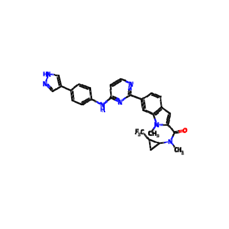 CN(C(=O)c1cc2ccc(-c3nccc(Nc4ccc(-c5cn[nH]c5)cc4)n3)cc2n1C)C1CC1C(F)(F)F